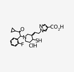 Cl.O=C(O)c1cnn(CC=C2CN(C(C(=O)C3CC3)c3ccccc3F)CCC2S)c1